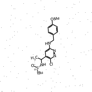 COc1ccc(CNc2cc(C(C)N[S@+]([O-])C(C)(C)C)c(Cl)nn2)cc1